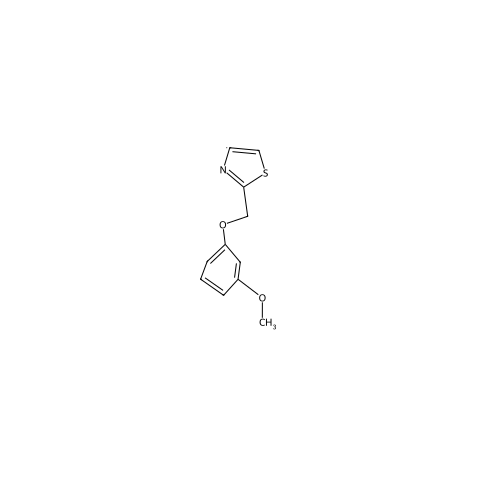 COc1cccc(OCc2n[c]cs2)c1